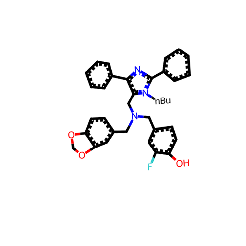 CCCCn1c(-c2ccccc2)nc(-c2ccccc2)c1CN(Cc1ccc(O)c(F)c1)Cc1ccc2c(c1)OCO2